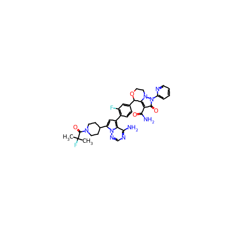 CC(C)(F)C(=O)N1CCC(c2cc(-c3ccc(C4OCCn5c4c(C(N)=O)c(=O)n5-c4ccccn4)cc3F)c3c(N)ncnn23)CC1